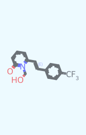 O=c1cccc(/C=C/c2ccc(C(F)(F)F)cc2)n1CO